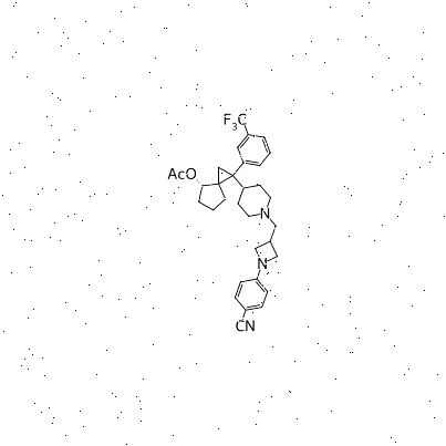 CC(=O)O[C@H]1CCCC12CC2(c1cccc(C(F)(F)F)c1)C1CCN(CC2CN(c3ccc(C#N)cc3)C2)CC1